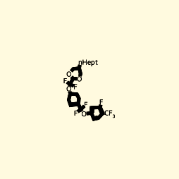 CCCCCCCC1COC(C(F)(F)OC2CC=C(C(F)(F)Oc3ccc(C(F)(F)F)c(F)c3)CC2)OC1